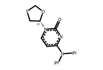 CC(C)N(c1ccn([C@@H]2CSCO2)c(=O)n1)C(C)C